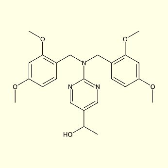 COc1ccc(CN(Cc2ccc(OC)cc2OC)c2ncc(C(C)O)cn2)c(OC)c1